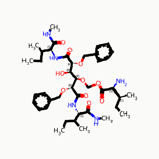 CCC(C)[C@H](NC(=O)[C@H](OCc1ccccc1)[C@H](O)[C@@H](OCOC(=O)[C@@H](N)[C@@H](C)CC)[C@@H](OCc1ccccc1)C(=O)N[C@H](C(=O)NC)C(C)CC)C(=O)NC